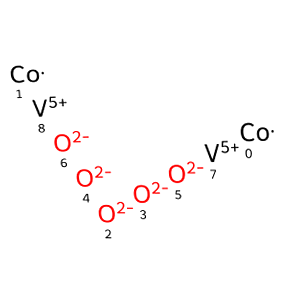 [Co].[Co].[O-2].[O-2].[O-2].[O-2].[O-2].[V+5].[V+5]